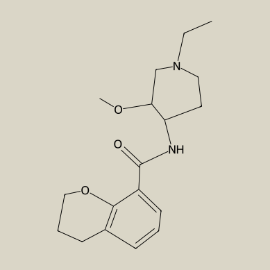 CCN1CCC(NC(=O)c2cccc3c2OCCC3)C(OC)C1